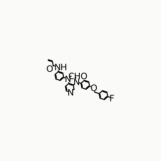 C=CC(=O)Nc1cccc(N(C=O)c2ccncc2N(C)c2ccc(OCc3ccc(F)cc3)cc2)c1